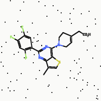 Cc1csc2c(N3CC=C(CC(=O)O)CC3)nc(-c3cc(F)c(F)cc3F)nc12